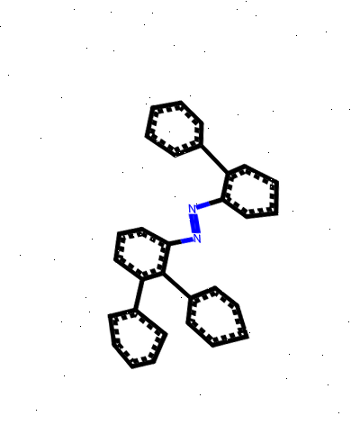 c1ccc(-c2ccccc2/N=N/c2cccc(-c3ccccc3)c2-c2ccccc2)cc1